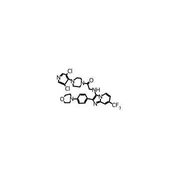 O=C(CNc1c(-c2ccc(N3CCOCC3)cc2)nc2cc(C(F)(F)F)ccn12)N1CCN(c2c(Cl)cncc2Cl)CC1